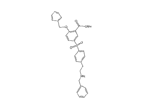 COC(=O)c1cc(S(=O)(=O)c2ccc(CCNCc3ccccc3)cc2)ccc1OCc1ccccc1